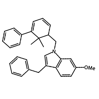 COc1ccc2c(Cc3ccccc3)cn(CC3C=CC=C(c4ccccc4)C3(C)C)c2c1